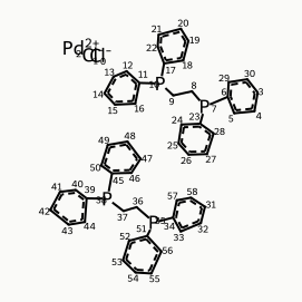 [Cl-].[Cl-].[Pd+2].c1ccc(P(CCP(c2ccccc2)c2ccccc2)c2ccccc2)cc1.c1ccc(P(CCP(c2ccccc2)c2ccccc2)c2ccccc2)cc1